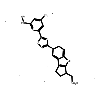 CCCNc1cc(C(F)(F)F)cc(-c2nc(C3C=c4c5c([nH]c4=CC3)C(CC(=O)O)CC5)no2)n1